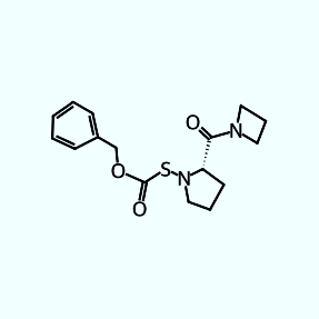 O=C(OCc1ccccc1)SN1CCC[C@H]1C(=O)N1CCC1